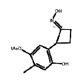 COc1cc(C2CC/C2=N\O)c(O)cc1C